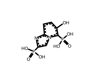 O=P(O)(O)c1cn2c(P(=O)(O)O)c(O)ccc2n1